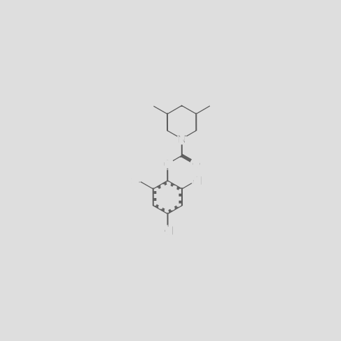 CC1CC(C)CN(C(=O)Oc2c(Cl)cc(Cl)cc2Cl)C1